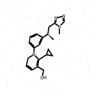 C[C@H](Cc1nncn1C)c1cccc(N2CC=CC(CO)=C2C2CC2)c1